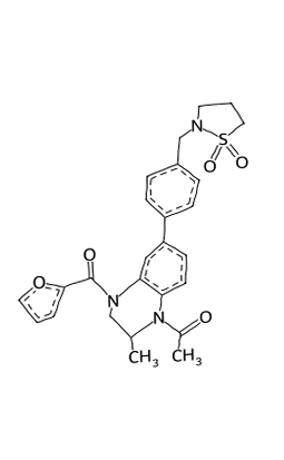 CC(=O)N1c2ccc(-c3ccc(CN4CCCS4(=O)=O)cc3)cc2N(C(=O)c2ccco2)CC1C